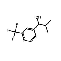 CC(C)C(O)c1ccnc(C(F)(F)F)c1